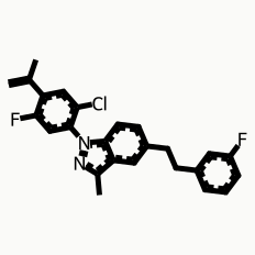 C=C(C)c1cc(Cl)c(-n2nc(C)c3cc(CCc4cccc(F)c4)ccc32)cc1F